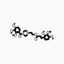 COc1ccc(C=CC(=O)OCCN2CCN(C(=O)c3ccc(OC)c(OC)c3OC)CC2)c(OC)c1OC